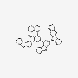 CC1C(c2cccc3ccccc23)=NC(c2cc(-n3c4ccccc4c4cc5ccccc5cc43)cc3oc4ccccc4c23)=NC1c1ccc2sc3ccccc3c2c1